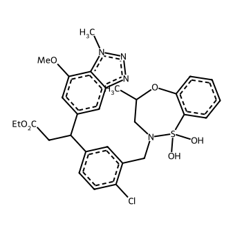 CCOC(=O)CC(c1ccc(Cl)c(CN2CC(C)Oc3ccccc3S2(O)O)c1)c1cc(OC)c2c(c1)nnn2C